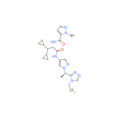 CC(C)n1nccc1C(=O)N[C@H](C(=O)Nc1cnn([C@H](C)c2nncn2CC(F)(F)F)c1)C(C1CC1)C1CC1